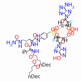 CCCCCCCCCCCCCC(=O)OC(CCCCCCCCCCC)CC(=O)N[C@H](C(=O)N[C@@H](CCCNC(N)=O)C(=O)Nc1ccc(CSP2(=O)OC[C@H]3O[C@@H](n4cnc5c(N)ncnc54)[C@H](F)[C@@H]3OP(=O)(O)OC[C@H]3O[C@@H](n4cnc5c(O)ncnc54)[C@H](F)[C@@H]3O2)cc1)C(C)C